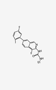 CCNC(=O)Nc1ncc2cc(-c3cc(F)ccc3C)ccc2c1F